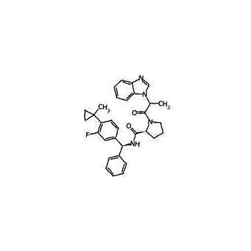 CC(C(=O)N1CCC[C@H]1C(=O)N[C@@H](c1ccccc1)c1ccc(C2(C)CC2)c(F)c1)n1cnc2ccccc21